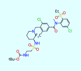 CCS(=O)(=O)c1ccc(Cl)cc1N(C)C(=O)c1cc(Cl)c(CN2CCC[C@H](NS(=O)(=O)CCNC(=O)OC(C)(C)C)C2)c(C(F)(F)F)c1